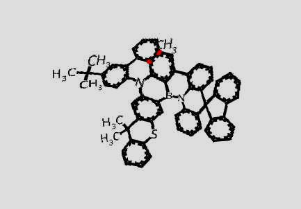 Cc1cc2c3c(c1)N(c1ccc(C(C)(C)C)cc1-c1ccccc1)c1cc4c(cc1B3N1c3ccccc3C3(c5ccccc5-c5ccccc53)c3cccc-2c31)Sc1ccccc1C4(C)C